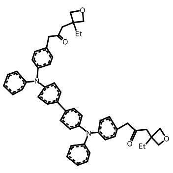 CCC1(CC(=O)Cc2ccc(N(c3ccccc3)c3ccc(-c4ccc(N(c5ccccc5)c5ccc(CC(=O)CC6(CC)COC6)cc5)cc4)cc3)cc2)COC1